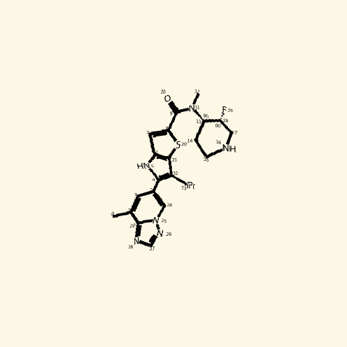 Cc1cc(-c2[nH]c3cc(C(=O)N(C)[C@@H]4CCNC[C@H]4F)sc3c2C(C)C)cn2ncnc12